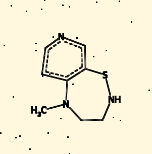 CN1CCNSc2cnccc21